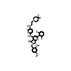 COc1ccc(CN2Cc3nc(-c4c(F)cccc4F)cc(Nc4ccc(NCCN5CCC(F)(F)CC5)cn4)c3C2=O)c(OC)c1